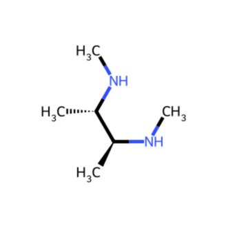 CN[C@@H](C)[C@H](C)NC